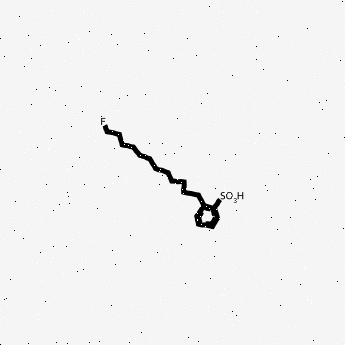 O=S(=O)(O)c1ccccc1CCCCCCCCCCCCF